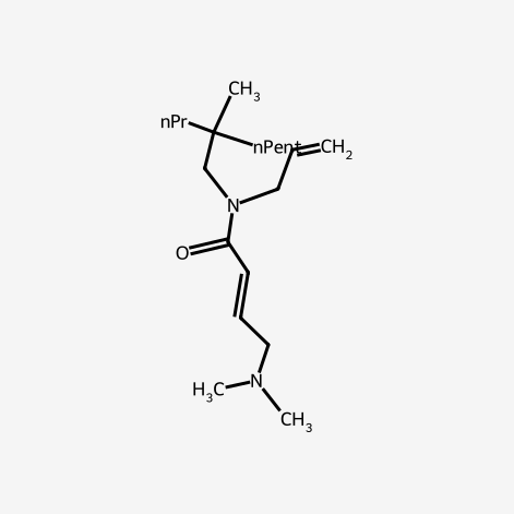 C=CCN(CC(C)(CCC)CCCCC)C(=O)/C=C/CN(C)C